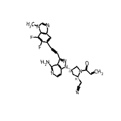 C=CC(=O)N1C[C@@H](n2nc(C#Cc3cc4ncn(C)c4c(F)c3F)c3c(N)nccc32)C[C@@H]1CC#N